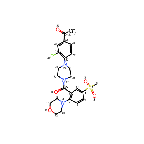 CS(=O)(=O)c1ccc(N2CCOCC2)c(C(=O)N2CCN(c3ccc(C(=O)C(F)(F)F)cc3F)CC2)c1